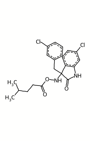 CC(C)CCC(=O)ONC1(Cc2cccc(Cl)c2)C(=O)Nc2cc(Cl)ccc21